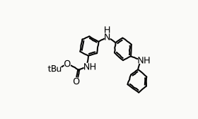 CC(C)(C)OC(=O)Nc1cccc(Nc2ccc(Nc3ccccc3)cc2)c1